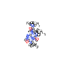 CC1(C)c2ccccc2N(c2ccc3c(c2)Oc2ccccc2N3c2ccnc(-c3cc(-c4nccc(N5c6ccccc6Oc6cc(N7c8ccccc8C(C)(C)c8ccccc87)ccc65)n4)cc(-c4nccc(N5c6ccccc6Oc6cc(N7c8ccccc8C(C)(C)c8ccccc87)ccc65)n4)c3)n2)c2ccccc21